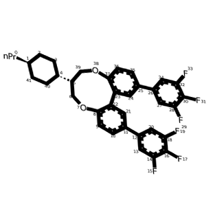 CCC[C@H]1CC[C@H](C2COc3ccc(-c4cc(F)c(F)c(F)c4)cc3-c3cc(-c4cc(F)c(F)c(F)c4)ccc3OC2)CC1